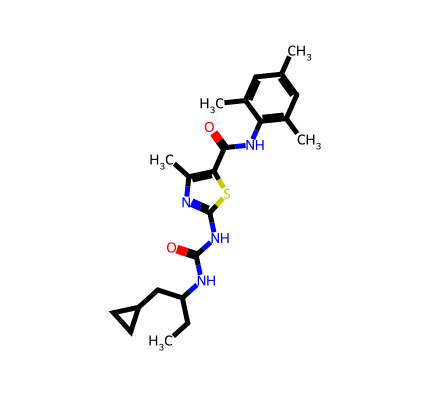 CCC(CC1CC1)NC(=O)Nc1nc(C)c(C(=O)Nc2c(C)cc(C)cc2C)s1